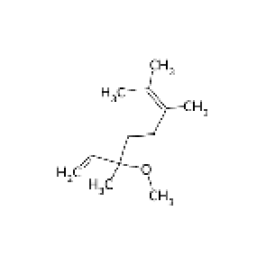 C=CC(C)(CCC(C)=C(C)C)OC